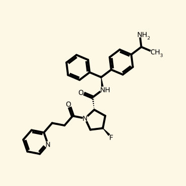 CC(N)c1ccc([C@@H](NC(=O)[C@@H]2C[C@@H](F)CN2C(=O)CCc2ccccn2)c2ccccc2)cc1